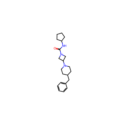 O=C(NC1CCCC1)N1CC(N2CCC(Cc3ccccc3)CC2)C1